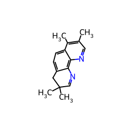 Cc1cnc2c3c(ccc2c1C)CC(C)(C)C=N3